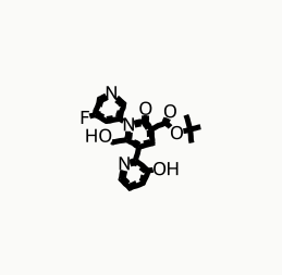 CC(C)(C)OC(=O)c1cc(-c2ncccc2O)c(CO)n(-c2cncc(F)c2)c1=O